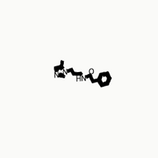 Cc1cncn1CCCNC(=O)Cc1ccccc1